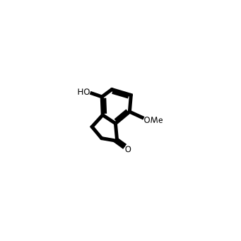 COc1ccc(O)c2c1C(=O)CC2